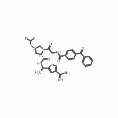 CC(NC(=O)[C@@H]1C[C@@H](OC(F)F)CN1C(=O)CNC(=O)c1ccc(C(=O)c2ccccc2)cc1)c1cc(C(=N)N)cs1